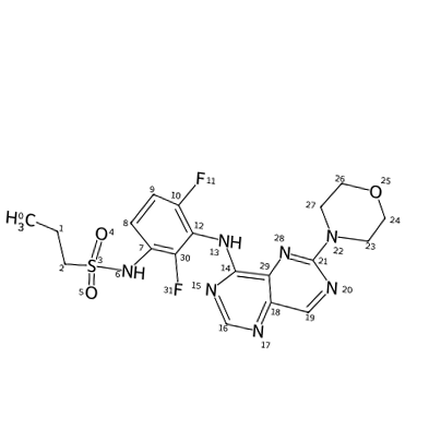 CCCS(=O)(=O)Nc1ccc(F)c(Nc2ncnc3cnc(N4CCOCC4)nc23)c1F